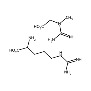 CN(CC(=O)O)C(=N)N.N=C(N)NCCCC(N)C(=O)O